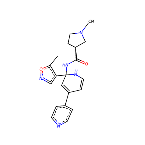 Cc1oncc1C1(NC(=O)[C@H]2CCN(C#N)C2)C=C(c2ccncc2)C=CN1